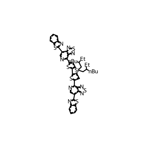 CCCCC(CC)C[Si]1(CC(CC)CCCC)c2cc(-c3ncc(-c4nc5ccccc5s4)c4nsnc34)sc2-c2sc(-c3ncc(-c4nc5ccccc5s4)c4nsnc34)cc21